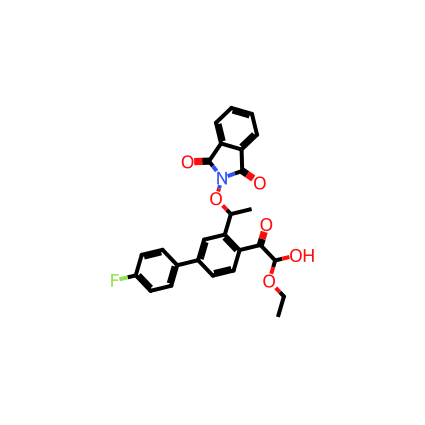 CCOC(O)C(=O)c1ccc(-c2ccc(F)cc2)cc1C(C)ON1C(=O)c2ccccc2C1=O